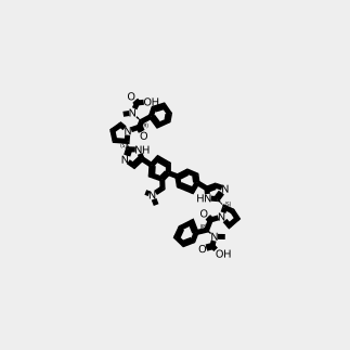 CN(C)Cc1cc(-c2cnc([C@@H]3CCCN3C(=O)[C@@H](c3ccccc3)N(C)C(=O)O)[nH]2)ccc1-c1ccc(-c2cnc([C@@H]3CCCN3C(=O)[C@@H](c3ccccc3)N(C)C(=O)O)[nH]2)cc1